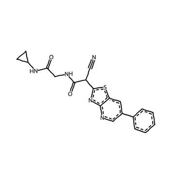 N#CC(C(=O)NCC(=O)NC1CC1)c1nc2ncc(-c3ccccc3)cc2s1